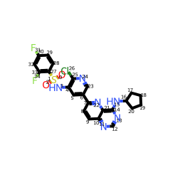 O=S(=O)(Nc1cc(-c2ccc3ncnc(NC4CCCC4)c3n2)cnc1Cl)c1ccc(F)cc1F